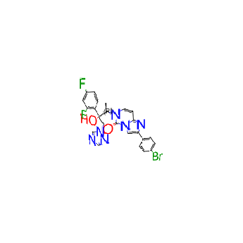 C[C@@H](n1ccc2nc(-c3ccc(Br)cc3)cn2c1=O)C(O)(Cn1cncn1)c1ccc(F)cc1F